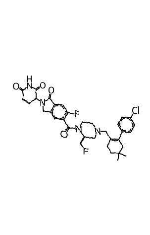 CC1(C)CCC(CN2CCN(C(=O)c3cc4c(cc3F)C(=O)N(C3CCC(=O)NC3=O)C4)C(CF)C2)=C(c2ccc(Cl)cc2)C1